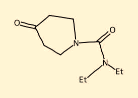 CCN(CC)C(=O)N1CCC(=O)CC1